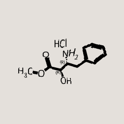 COC(=O)[C@H](O)[C@H](N)Cc1ccccc1.Cl